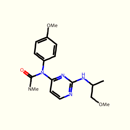 CNC(=O)N(c1ccc(OC)cc1)c1ccnc(NC(C)COC)n1